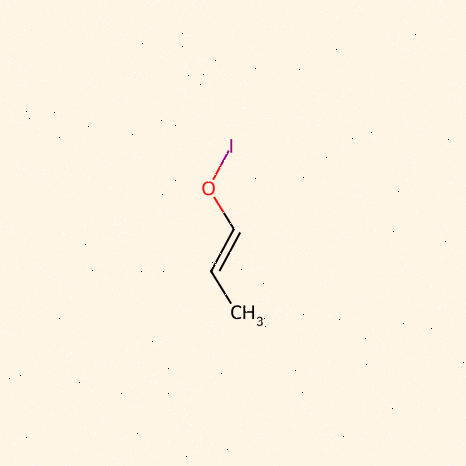 CC=COI